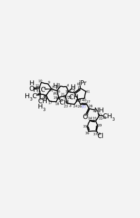 CC(C)C1=C2[C@H]3CC[C@@H]4[C@@]5(C)CC[C@H](O)C(C)(C)[C@@H]5CC[C@@]4(C)[C@]3(C)CC[C@@]2(/C=C/C(=O)N[C@@H](C)c2cccc(Cl)c2)CC1